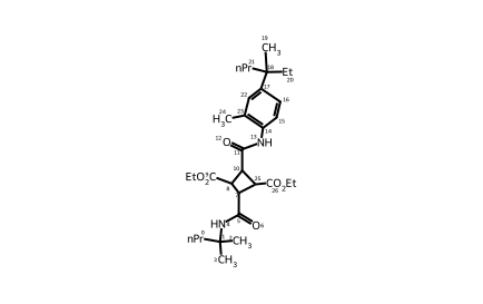 CCCC(C)(C)NC(=O)C1C(C(=O)OCC)C(C(=O)Nc2ccc(C(C)(CC)CCC)cc2C)C1C(=O)OCC